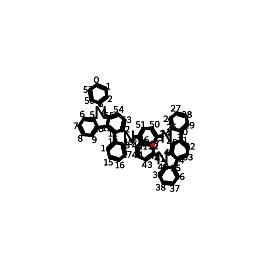 c1ccc(-n2c3ccccc3c3c4c5ccccc5n(-c5ccc(-n6c7ccccc7c7ccc8c9ccccc9n(-c9ccccc9)c8c76)cc5)c4ccc32)cc1